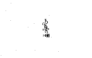 O=C(Nc1ccc(-c2nnn[nH]2)cc1)N1CCN(C(=O)c2cccc(F)c2)CC1